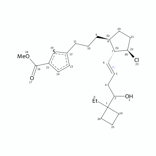 CCC1(C(O)C/C=C/[C@@H]2[C@@H](CCCc3ccc(C(=O)OC)s3)CC[C@H]2Cl)CCC1